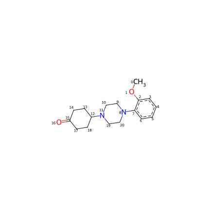 COc1ccccc1N1CCN(C2CCC(=O)CC2)CC1